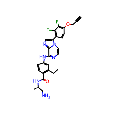 C#CCOc1ccc(-c2cnc3c(Nc4ccc(C(=O)N[C@H](C)CN)c(CC)c4)nccn23)c(F)c1F